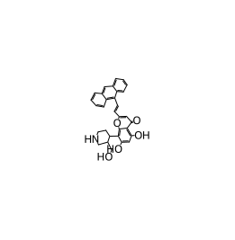 O=c1cc(C=Cc2c3ccccc3cc3ccccc23)oc2c(C3CCNCC3CO)c(O)cc(O)c12